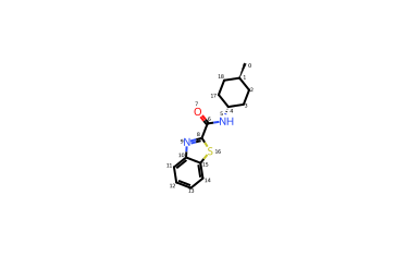 C[C@H]1CC[C@H](NC(=O)c2nc3ccccc3s2)CC1